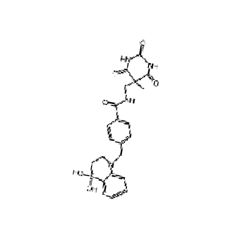 CC1(CNC(=O)c2ccc(CN3CCS(O)(O)c4ccccc43)cc2)C(=O)NC(=O)NC1=O